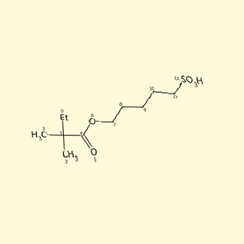 CCC(C)(C)C(=O)OCCCCCS(=O)(=O)O